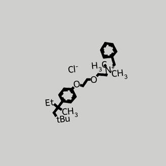 CCC(C)(CC(C)(C)C)c1ccc(OCCOCC[N+](C)(C)Cc2ccccc2)cc1.[Cl-]